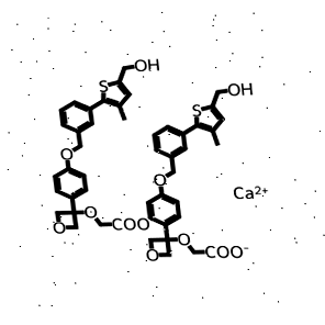 Cc1cc(CO)sc1-c1cccc(COc2ccc(C3(OCC(=O)[O-])COC3)cc2)c1.Cc1cc(CO)sc1-c1cccc(COc2ccc(C3(OCC(=O)[O-])COC3)cc2)c1.[Ca+2]